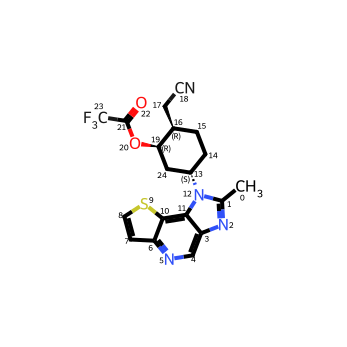 Cc1nc2cnc3ccsc3c2n1[C@H]1CC[C@H](CC#N)[C@H](OC(=O)C(F)(F)F)C1